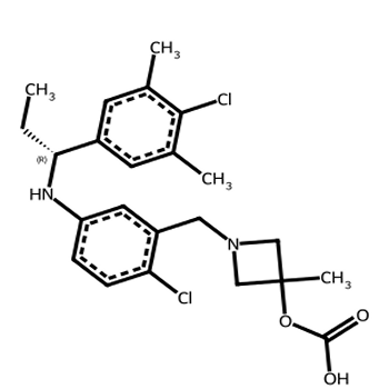 CC[C@@H](Nc1ccc(Cl)c(CN2CC(C)(OC(=O)O)C2)c1)c1cc(C)c(Cl)c(C)c1